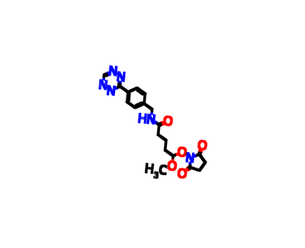 COC(CCCC(=O)NCc1ccc(-c2nncnn2)cc1)ON1C(=O)CCC1=O